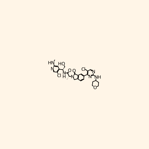 CNc1cc([C@@H](CO)NC(=O)[C@@H](C)N2Cc3ccc(-c4nc(NC5CCOCC5)ncc4Cl)cc3C2=O)c(Cl)cn1